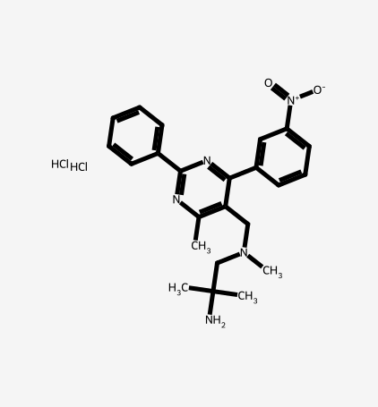 Cc1nc(-c2ccccc2)nc(-c2cccc([N+](=O)[O-])c2)c1CN(C)CC(C)(C)N.Cl.Cl